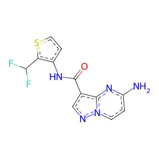 Nc1ccn2ncc(C(=O)Nc3ccsc3C(F)F)c2n1